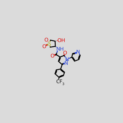 O=C(N[C@@H]1CS(=O)(=O)C[C@@H]1O)c1cc(-c2ccc(C(F)(F)F)cc2)nn(-c2cccnc2)c1=O